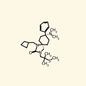 CSC(C)(C)CN1C[C@]2(CC[C@@](c3ccccc3)(N(C)C)CC2)N(CC2CCC2)C1=O